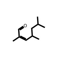 CC(C=O)=CC(C)CC(C)C